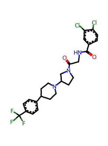 O=C(NCC(=O)N1CCC(N2CCC(c3ccc(C(F)(F)F)cc3)CC2)C1)c1ccc(Cl)c(Cl)c1